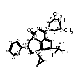 C[C@@H]1CN(c2nc(=O)n3c4c(cc(C(F)(F)F)cc24)[SH](C2CC2)C[C@@H](c2ccccn2)C3)C[C@H](C)N1